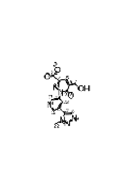 COC(=O)c1cc(CO)c(=O)n(-c2cncc(-c3cnnn3C)c2)n1